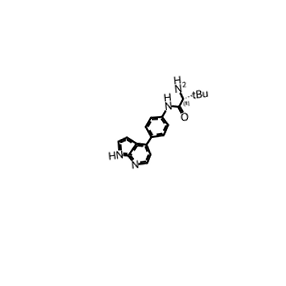 CC(C)(C)[C@@H](N)C(=O)Nc1ccc(-c2ccnc3[nH]ccc23)cc1